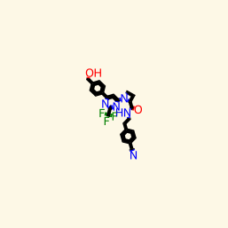 N#Cc1ccc(CCNC(=O)C2CCN2c2cc(-c3ccc(CO)cc3)nc(C(F)(F)F)n2)cc1